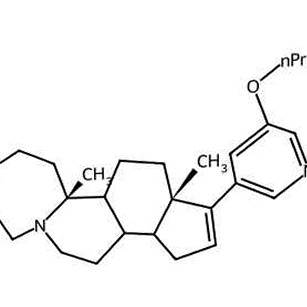 CCCOc1cncc(C2=CCC3C4CCN5CCCCC[C@]5(C)C4CC[C@]23C)c1